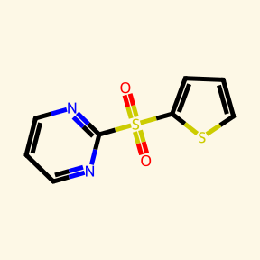 O=S(=O)(c1ncccn1)c1cccs1